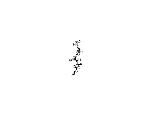 CCCCOC(=O)OC(C)OC(=O)[C@H](O)C(C)(C)COS(=O)(=O)CCCNC(C)=O